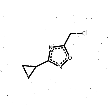 ClCc1nc(C2CC2)no1